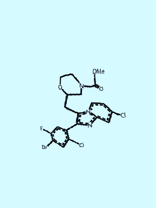 COC(=O)N1CCOC(Cc2c(-c3cc(F)c(Br)cc3Cl)nc3cc(Cl)ccn23)C1